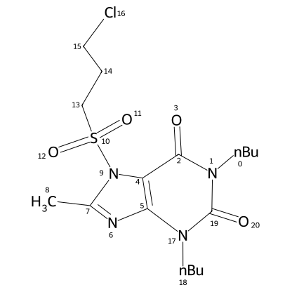 CCCCn1c(=O)c2c(nc(C)n2S(=O)(=O)CCCCl)n(CCCC)c1=O